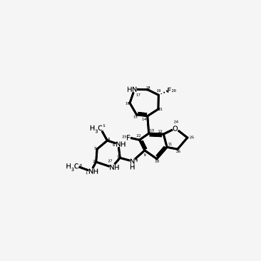 CNC1CC(C)NC(Nc2cc3c(c(C4=CCNC[C@H](F)C4)c2F)OCC3)N1